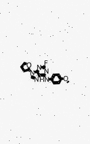 COc1ccc(Nc2nc(F)nc3c2ncn3C2CCCO2)cc1